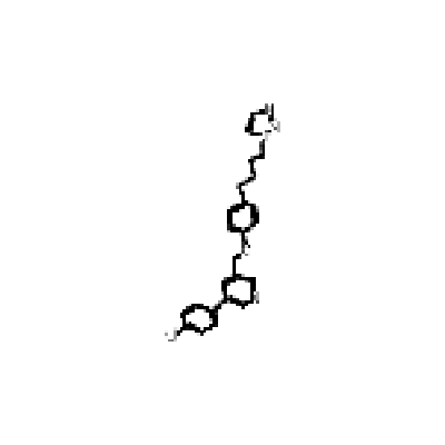 Clc1ccc(-c2cncc(COc3ccc(CCCCn4ccnn4)cc3)c2)cc1